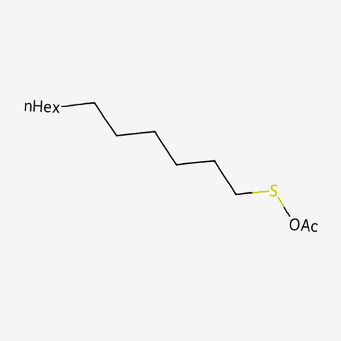 CCCCCCCCCCCCSOC(C)=O